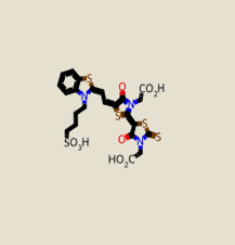 O=C(O)CN1C(=O)/C(=c2\sc(=CC=C3Sc4ccccc4N3CCCCS(=O)(=O)O)c(=O)n2CC(=O)O)SC1=S